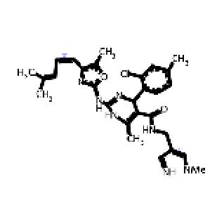 CN/C=C(\C=N)CNC(=O)C1=C(C)NC(Nc2nc(/C=C\C=C(C)C)c(C)o2)=NC1c1ccc(C)cc1Cl